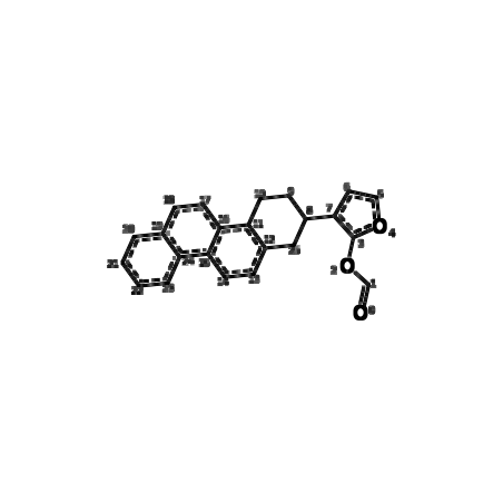 O=COc1occc1C1CCc2c(ccc3c2ccc2ccccc23)C1